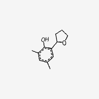 Cc1cc(C)c(O)c(C2CCCO2)c1